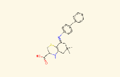 CC1(C)CC2=C(SCC(C(=O)O)N2)/C(=N/c2ccc(-c3ccccc3)cc2)C1